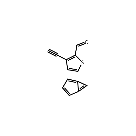 C#Cc1ccsc1C=O.c1cc2cc-2c1